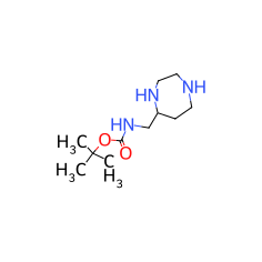 CC(C)(C)OC(=O)NCC1CCNCCN1